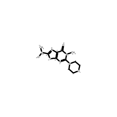 Cn1c(N2CCOCC2)nc2sc([S+](C)[O-])nc2c1=O